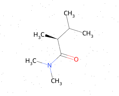 CC(C)[C@H](C)C(=O)N(C)C